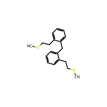 N#CSCCc1ccccc1Cc1ccccc1CCSC#N